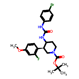 COc1ccc([C@@H]2CN(C(=O)OC(C)(C)C)CCC2NC(=O)Nc2ccc(Br)cc2)c(F)c1